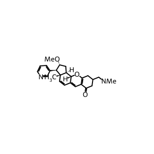 CNCC1CC(=O)C2=C(C1)O[C@@H]1C(=C2)C=C[C@@]2(C)[C@H]1C[C@@H](OC)[C@@H]2c1cccnc1